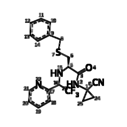 N#CC1(NC(=O)[C@H](CSCc2ccccc2)NC(c2ccccn2)C(F)(F)F)CC1